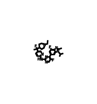 CCN1CCC(C(C)(F)c2ccc(Nc3ncc(F)c(-c4cc(F)c5nc(C)n(C(C)C)c5c4)n3)nc2)CC1